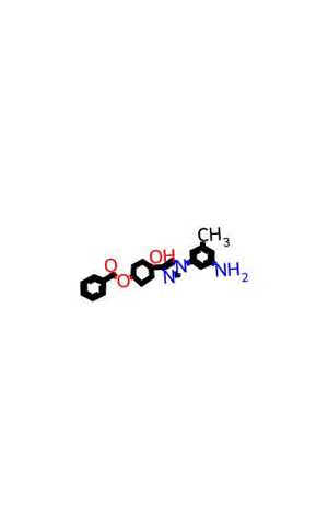 Cc1cc(N)cc(-n2cnc(C3(O)CCC(OC(=O)c4ccccc4)CC3)c2)c1